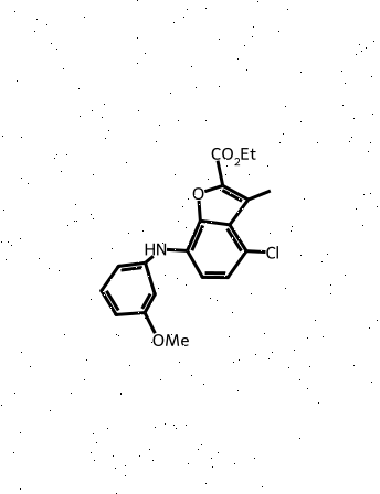 CCOC(=O)c1oc2c(Nc3cccc(OC)c3)ccc(Cl)c2c1C